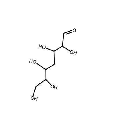 O=CC(O)C(O)CC(O)C(O)CO